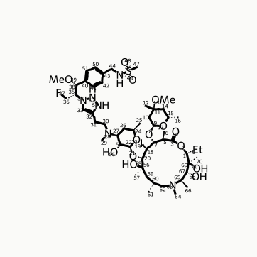 CC[C@H]1OC(=O)[C@H](C)[C@@H](O[C@H]2C[C@@](C)(OC)C[C@H](C)O2)[C@H](I)[C@@H](O[C@@H]2O[C@H](C)C[C@H](N(C)CCC3=CN([C@H](CF)[C@H](OC)c4ccc(CNS(C)(=O)=O)cc4)NN3)[C@H]2O)[C@](C)(O)C[C@@H](C)CN(C)[C@H](C)[C@@H](O)[C@]1(C)O